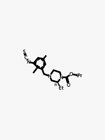 CC[C@H]1CN(Cc2cc(C)cc(N=C=S)c2C)CCN1C(=O)OC(C)C